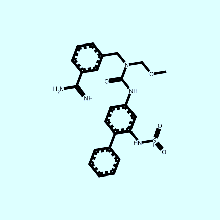 COCN(Cc1cccc(C(=N)N)c1)C(=O)Nc1ccc(-c2ccccc2)c(N[SH](=O)=O)c1